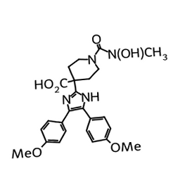 COc1ccc(-c2nc(C3(C(=O)O)CCN(C(=O)N(C)O)CC3)[nH]c2-c2ccc(OC)cc2)cc1